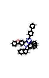 c1ccc(-c2ccc(-c3nc(-c4ccccc4)nc(-c4cc5oc6ccccc6c5cc4-n4c5cc6ccccc6cc5c5ccc6ccccc6c54)n3)cc2)cc1